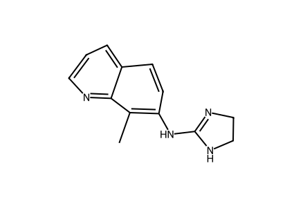 Cc1c(NC2=NCCN2)ccc2cccnc12